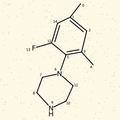 Cc1cc(C)c(N2CCNCC2)c(F)c1